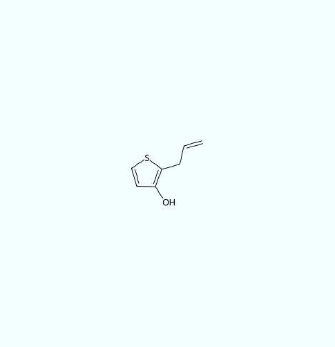 C=CCc1sccc1O